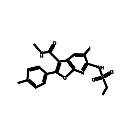 CCS(=O)(=O)Nc1nc2oc(-c3ccc(C)cc3)c(C(=O)NC)c2cc1I